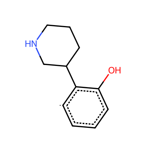 Oc1ccc[c]c1C1CCCNC1